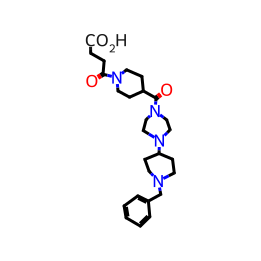 O=C(O)CCC(=O)N1CCC(C(=O)N2CCN(C3CCN(Cc4ccccc4)CC3)CC2)CC1